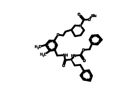 Cc1cc(OCCC2CCCN(C(=O)OC(C)(C)C)C2)cc(CNC(=O)[C@H](CCc2ccccc2)NC(=O)OCc2ccccc2)c1C